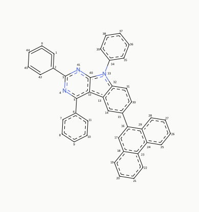 C1=C=C(c2nc(-c3ccccc3)c3c4cc(-c5cc6ccccc6c6ccccc56)ccc4n(-c4ccccc4)c3n2)C=CC=1